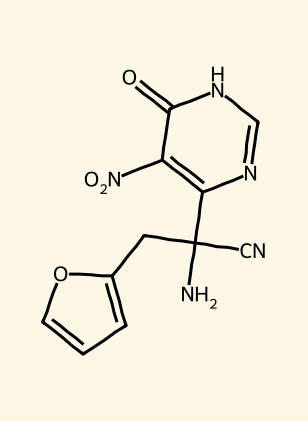 N#CC(N)(Cc1ccco1)c1nc[nH]c(=O)c1[N+](=O)[O-]